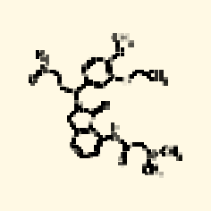 CCOc1cc(C(CC[SH](=O)=O)N2Cc3cccc(NC(=O)CN(C)C)c3C2=O)ccc1OC